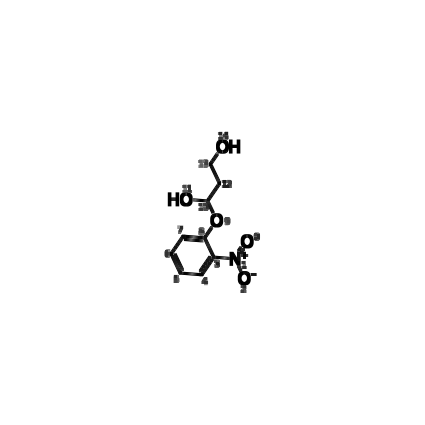 O=[N+]([O-])c1ccccc1OC(O)CCO